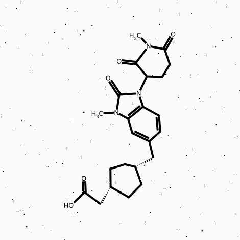 CN1C(=O)CCC(n2c(=O)n(C)c3cc(C[C@H]4CC[C@@H](CC(=O)O)CC4)ccc32)C1=O